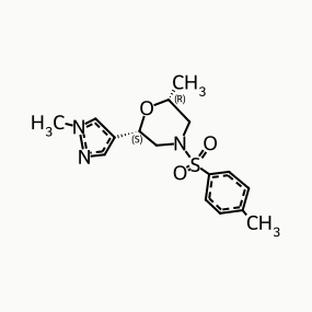 Cc1ccc(S(=O)(=O)N2C[C@@H](C)O[C@@H](c3cnn(C)c3)C2)cc1